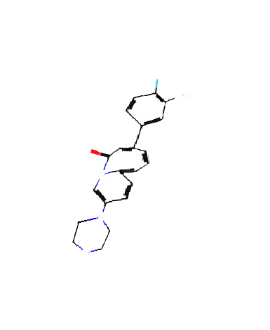 COc1cc(C2=C\C(=O)N3C=C(N4CCNCC4)C=C\C3=C/C=C/2)ccc1F